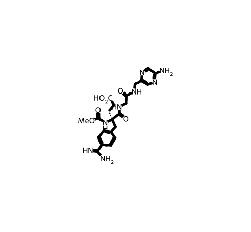 COC(=O)N[C@](CCC(=O)O)(Cc1ccc(C(=N)N)cc1)C(=O)NCC(=O)NCc1cnc(N)cn1